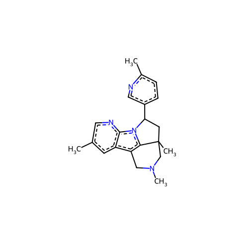 Cc1cnc2c(c1)c1c3n2C(c2ccc(C)nc2)CC3(C)CN(C)C1